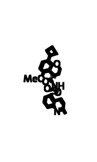 COc1ccc(C2CCC2)c2c1[C@@H](C(=O)NS(=O)(=O)c1cccc3nc(C)ccc13)CCO2